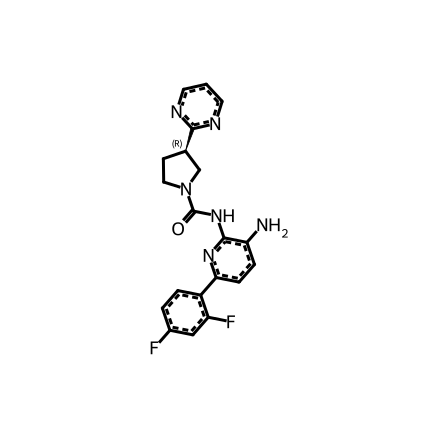 Nc1ccc(-c2ccc(F)cc2F)nc1NC(=O)N1CC[C@@H](c2ncccn2)C1